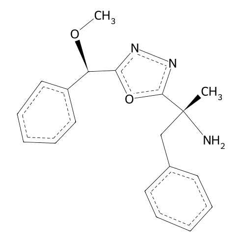 CO[C@H](c1ccccc1)c1nnc([C@](C)(N)Cc2ccccc2)o1